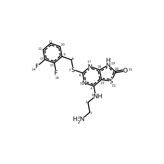 NCCNc1nc(SCc2cccc(F)c2F)nc2[nH]c(=O)sc12